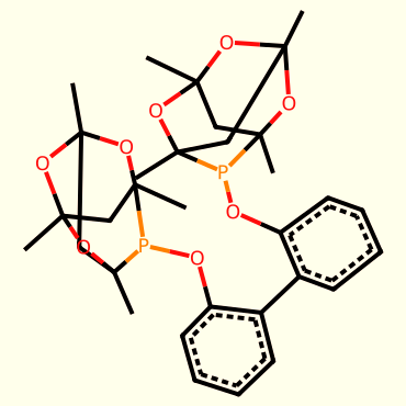 CC12CC3(C)OC(C)(CC(C)(O1)P3Oc1ccccc1-c1ccccc1OP1C3(C)CC4(C)OC(C)(CC1(C)O4)O3)O2